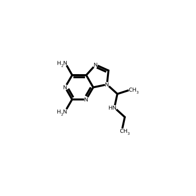 CCNC(C)n1cnc2c(N)nc(N)nc21